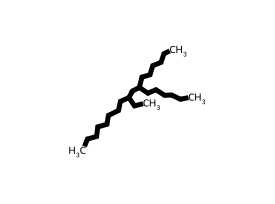 CCCCCCCCC([CH]C(CCCCCC)CCCCCC)CC